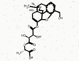 C[C@H](OC(=O)[C@@H](O)[C@H](O)C(=O)OC1=CC[C@@]2(O)[C@H]3Cc4ccc(CO)c5c4C2(CCN3C)C1O5)C(=O)O